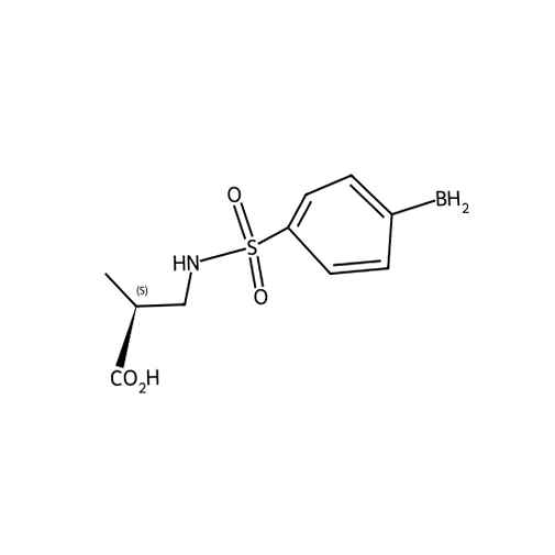 Bc1ccc(S(=O)(=O)NC[C@H](C)C(=O)O)cc1